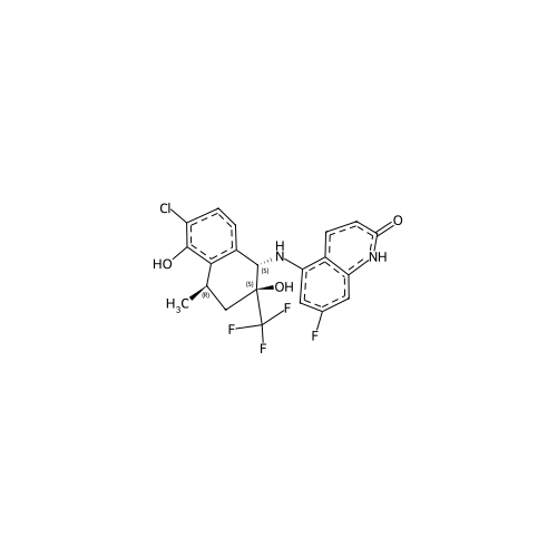 C[C@@H]1C[C@@](O)(C(F)(F)F)[C@@H](Nc2cc(F)cc3[nH]c(=O)ccc23)c2ccc(Cl)c(O)c21